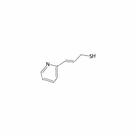 SCC=Cc1ccccn1